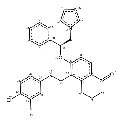 O=C1CCCc2c1ccc(O[C@H](Cn1ccnc1)c1ccccc1)c2CSc1ccc(Cl)c(Cl)c1